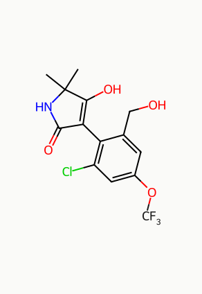 CC1(C)NC(=O)C(c2c(Cl)cc(OC(F)(F)F)cc2CO)=C1O